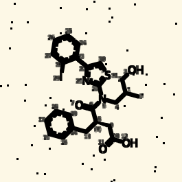 CC(CO)CN(C(=O)[C@@H](CC(=O)O)Cc1ccccc1)c1nc(-c2ccccc2I)cs1